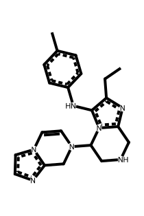 CCc1nc2n(c1Nc1ccc(C)cc1)C(N1C=Cn3ccnc3C1)CNC2